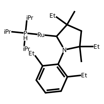 CCc1cccc(CC)c1N1[CH]([Ru][PH](C(C)C)(C(C)C)C(C)C)C(C)(CC)CC1(C)CC